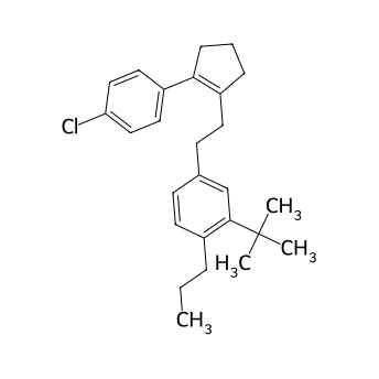 CCCc1ccc(CCC2=C(c3ccc(Cl)cc3)CCC2)cc1C(C)(C)C